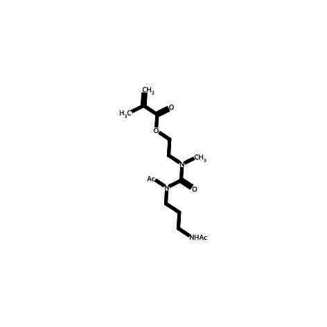 C=C(C)C(=O)OCCN(C)C(=O)N(CCCNC(C)=O)C(C)=O